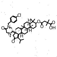 CC(C)C1=C2[C@H]3CC[C@@H]4[C@@]5(C)CCC(OC(=O)CC(C)(C)C(=O)O)C(C)(C)[C@@H]5CC[C@@]4(C)[C@]3(C)CC[C@@]2([C@H]2CN(Cc3ccc(Cl)cc3)C(=O)CN2C)CC1=O